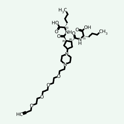 C#CCOCCOCCOCCOCCN1CCN(C2C[C@@H](C(=O)N[C@@H](CCCC)C(=O)O)[C@H](C(=O)N[C@@H](CCCC)C(=O)O)C2)CC1